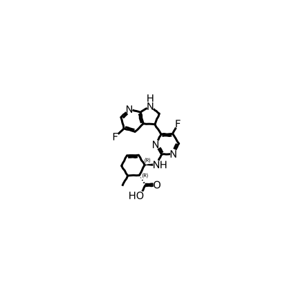 CC1CC=C[C@@H](Nc2ncc(F)c(C3CNc4ncc(F)cc43)n2)[C@@H]1C(=O)O